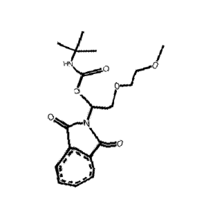 COCCOCC(OC(=O)NC(C)(C)C)N1C(=O)c2ccccc2C1=O